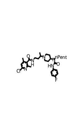 CCCCCN(C(=O)Nc1ccc(F)cc1)C1CCN(C(C)CCNC(=O)c2c(C)cc(Cl)nc2C)CC1